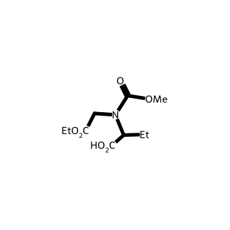 CCOC(=O)CN(C(=O)OC)C(CC)C(=O)O